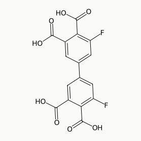 O=C(O)c1cc(-c2cc(F)c(C(=O)O)c(C(=O)O)c2)cc(F)c1C(=O)O